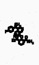 CCC(NC(=O)c1cncc(N(C)c2ccc(F)cc2)c1C=N)C1CCCN(C(N)=O)C1